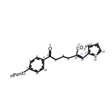 CCCCCc1ccc(C(=O)CCC/C(=C/c2cccs2)C(=O)O)cc1